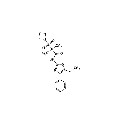 CCc1sc(NC(=O)C(C)(C)S(=O)(=O)N2CCC2)nc1-c1ccccc1